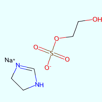 C1=NCCN1.O=S(=O)([O-])OCCO.[Na+]